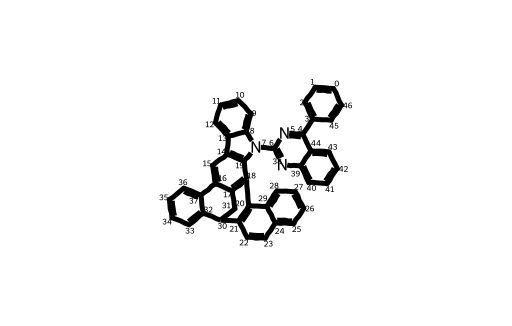 c1ccc(-c2nc(-n3c4ccccc4c4cc5c6c(c43)-c3c(ccc4ccccc34)C(C6)c3ccccc3-5)nc3ccccc23)cc1